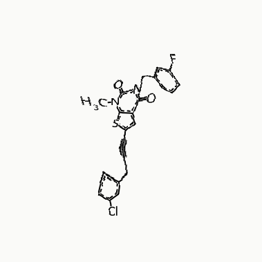 Cn1c(=O)n(Cc2cccc(F)c2)c(=O)c2cc(C#CCc3cccc(Cl)c3)sc21